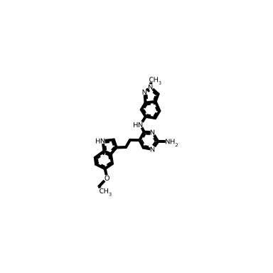 CCOc1ccc2[nH]cc(CCc3cnc(N)nc3Nc3ccc4cn(C)nc4c3)c2c1